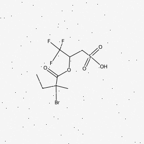 CCC(C)(Br)C(=O)OC(CS(=O)(=O)O)C(F)(F)F